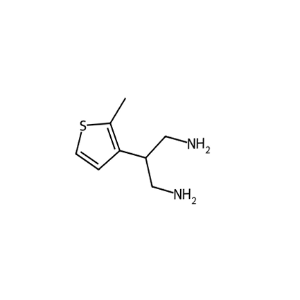 Cc1sccc1C(CN)CN